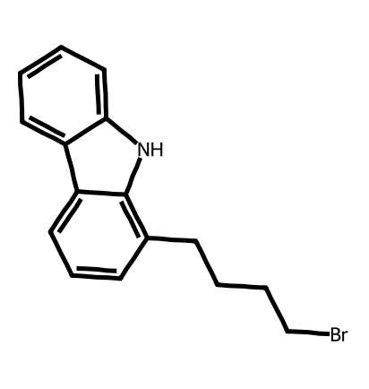 BrCCCCc1cccc2c1[nH]c1ccccc12